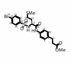 COC(=O)CCc1ccc(NC(=O)[C@H](CCSC)NS(=O)(=O)c2ccc(Br)cc2)cc1